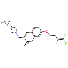 C[C@@H]1Cc2cc(OCCC(F)=C(F)F)ccc2C=C1CN1CC(C(=O)O)C1